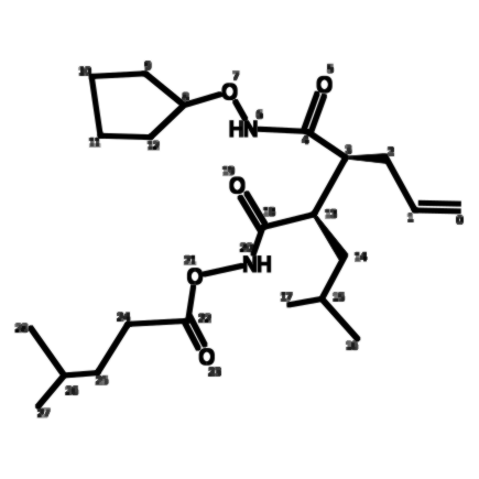 C=CC[C@H](C(=O)NOC1CCCC1)[C@@H](CC(C)C)C(=O)NOC(=O)CCC(C)C